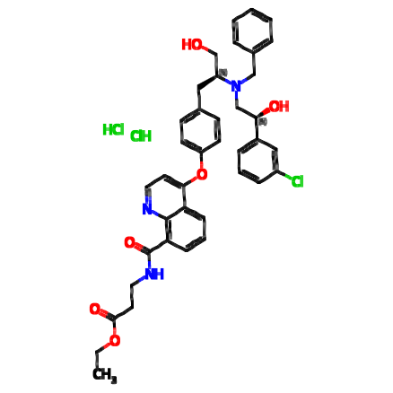 CCOC(=O)CCNC(=O)c1cccc2c(Oc3ccc(C[C@@H](CO)N(Cc4ccccc4)C[C@@H](O)c4cccc(Cl)c4)cc3)ccnc12.Cl.Cl